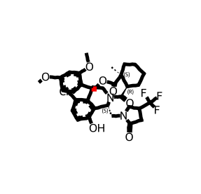 COc1ccc(COC(=O)[C@@]2(C)CCCC[C@H]2C(=O)N2CCc3c(Cl)ccc(O)c3[C@H]2CN2CC(C(F)(F)F)CC2=O)c(OC)c1